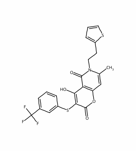 Cc1cc2oc(=O)c(Sc3cccc(C(F)(F)F)c3)c(O)c2c(=O)n1CCc1cccs1